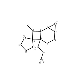 CC1C2C3OC3CCC2(OCC(F)(F)F)C12OCCO2